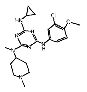 COc1ccc(Nc2nc(NC3CC3)nc(N(C)C3CCN(C)CC3)n2)cc1Cl